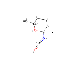 CCC[SiH]1CCCC(N=C=O)O1